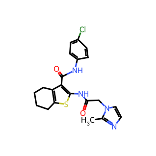 Cc1nccn1CC(=O)Nc1sc2c(c1C(=O)Nc1ccc(Cl)cc1)CCCC2